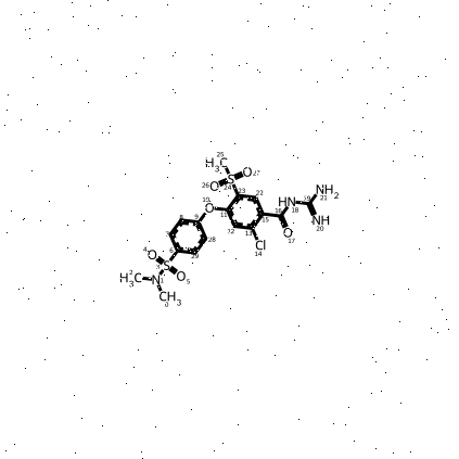 CN(C)S(=O)(=O)c1ccc(Oc2cc(Cl)c(C(=O)NC(=N)N)cc2S(C)(=O)=O)cc1